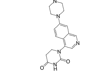 O=C1CCN(c2cncc3cc(N4CCNCC4)ccc23)C(=O)N1